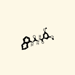 COc1cc(OC)cc(C(=O)NNC(=O)Nc2cccc3ccccc23)c1